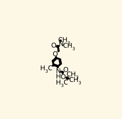 Cc1cc(OCC(=O)N(C)C)ccc1NC(=O)OC(C)(C)C